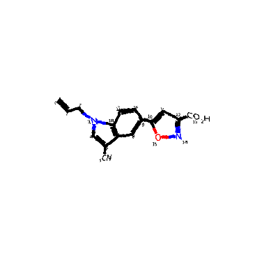 C=CCn1cc(C#N)c2cc(-c3cc(C(=O)O)no3)ccc21